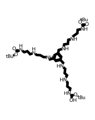 CC(C)(C)OC(=O)NCCCNCCCNCc1cc(CNCCCNCCCNC(=O)OC(C)(C)C)cc(CNCCCNCCCNC(O)OC(C)(C)C)c1